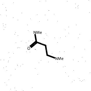 CNCCC(=O)NC